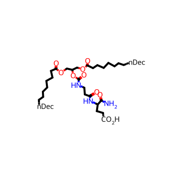 CCCCCCCCCCCCCCCCCC(=O)OCC(COC(=O)CCCCCCCCCCCCCCCCC)OC(=O)NCCC(=O)NC(CCC(=O)O)C(N)=O